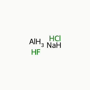 Cl.F.[AlH3].[NaH]